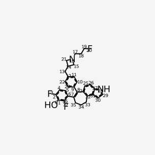 Oc1c(F)ccc(C2=C(c3ccc(CC4CN(CCCF)C4)cc3)c3ccc4[nH]ccc4c3CCC2)c1F